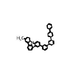 Cc1ccc2c(c1)c1cccc3c4cc(-c5cccc(-c6cccc(-c7ccc(-c8ccccc8)cc7)c6)c5)ccc4n2c13